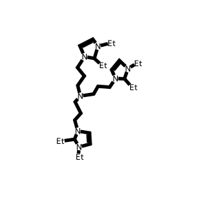 CCC1N(CC)C=CN1CCCN(CCCN1C=CN(CC)C1CC)CCCN1C=CN(CC)C1CC